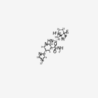 CNS(=O)(=O)c1cc(-c2cn(C)cn2)cnc1NC[C@@H]1[C@H]2CCC(F)(F)[C@H]21